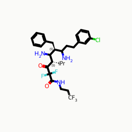 CC(C)[C@H](C(=O)C(F)(F)C(=O)NCCC(F)(F)F)C(N)[C@@H](Cc1ccccc1)C(N)CCc1cccc(Cl)c1